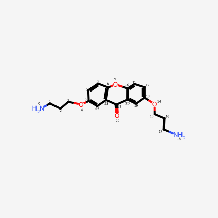 NCCCOc1ccc2oc3ccc(OCCCN)cc3c(=O)c2c1